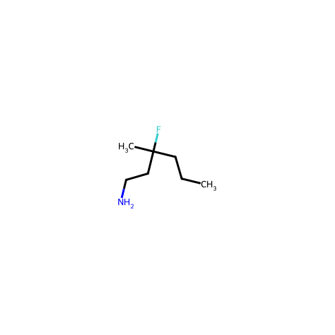 CCCC(C)(F)CCN